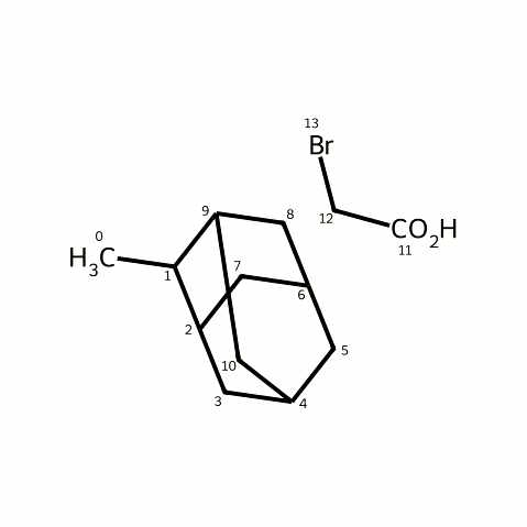 CC1C2CC3CC(C2)CC1C3.O=C(O)CBr